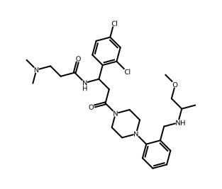 COCC(C)NCc1ccccc1N1CCN(C(=O)CC(NC(=O)CCN(C)C)c2ccc(Cl)cc2Cl)CC1